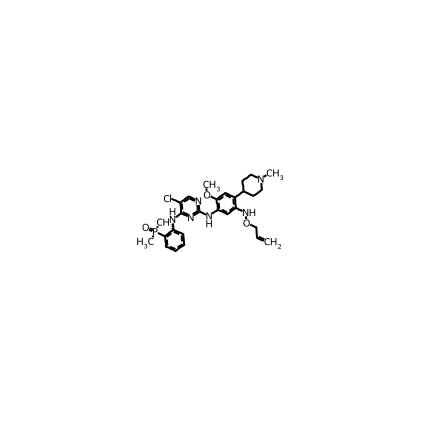 C=CCONc1cc(Nc2ncc(Cl)c(Nc3ccccc3P(C)(C)=O)n2)c(OC)cc1C1CCN(C)CC1